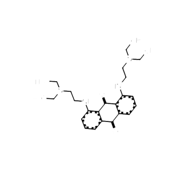 CCN(CC)CCNc1cccc2c1C(=O)c1c(NCCN(CC)CC)cccc1C2=O